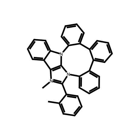 Cc1ccccc1-c1n2c3ccccc3c3ccccc3c3ccccc3n3c4ccccc4c(c23)[n+]1C